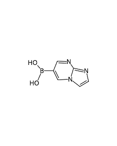 OB(O)c1cnc2nccn2c1